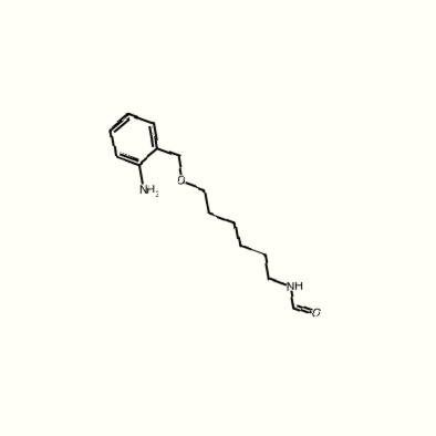 Nc1ccccc1COCCCCCCNC=O